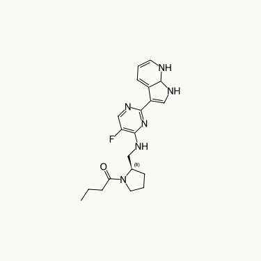 CCCC(=O)N1CCC[C@@H]1CNc1nc(C2=CNC3NC=CC=C23)ncc1F